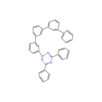 c1ccc(-c2cccc(-c3cccc(-c4cccc(-c5nc(-c6ccccc6)nc(-c6ccccc6)n5)c4)c3)c2)cc1